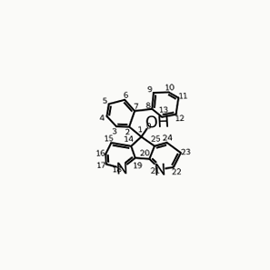 OC1(c2ccccc2-c2ccccc2)c2cccnc2-c2ncccc21